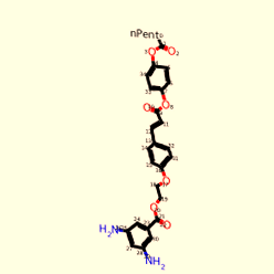 CCCCCC(=O)Oc1ccc(OC(=O)/C=C/c2ccc(OCCOC(=O)c3cc(N)cc(N)c3)cc2)cc1